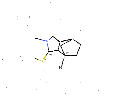 CS[C@@H]1C2C(CN1C)C1CC[C@@H]2C1